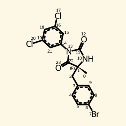 C[C@]1(Cc2ccc(Br)cc2)NC(=O)N(c2cc(Cl)cc(Cl)c2)C1=O